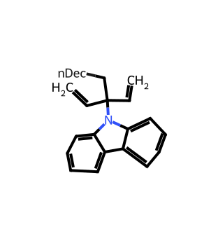 C=CC(C=C)(CCCCCCCCCCC)n1c2ccccc2c2ccccc21